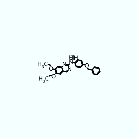 CCOc1cc2cnc(Nc3ccc(OCc4ccccc4)cc3)nc2cc1OCC.Cl